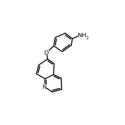 Nc1ccc(Oc2ccc3ncccc3c2)cc1